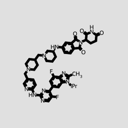 Cc1nc2c(F)cc(-c3nc(Nc4ccc(CN5CCC(CN6CCC[C@H](Nc7ccc8c(c7)C(=O)N(C7CCC(=O)NC7=O)C8=O)C6)CC5)cn4)ncc3F)cc2n1C(C)C